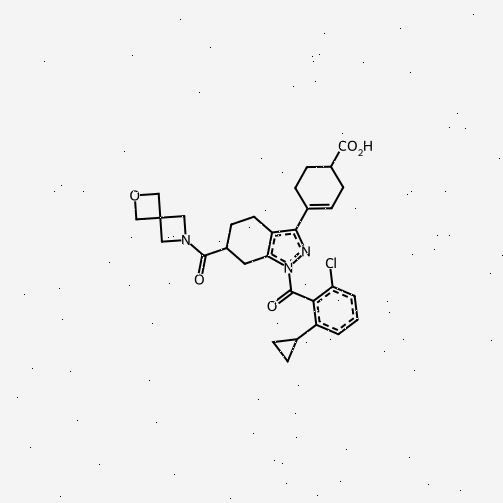 O=C(O)C1CC=C(c2nn(C(=O)c3c(Cl)cccc3C3CC3)c3c2CCC(C(=O)N2CC4(COC4)C2)C3)CC1